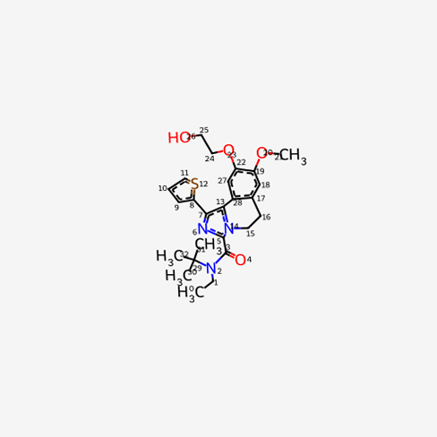 CCN(C(=O)c1nc(-c2cccs2)c2n1CCc1cc(OC)c(OCCO)cc1-2)C(C)(C)C